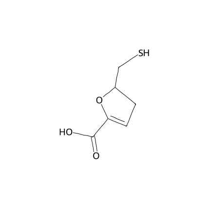 O=C(O)C1=CCC(CS)O1